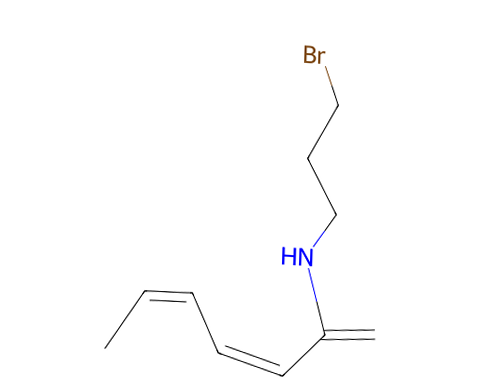 C=C(/C=C\C=C/C)NCCCBr